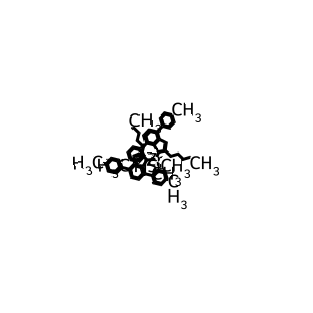 CCCCCC1=Cc2c(-c3ccc(C)cc3)ccc(-c3ccc(C)cc3)c2[CH]1[Zr]([CH]1C(CCCCC)=Cc2c(-c3ccc(C)cc3)ccc(-c3ccc(C)cc3)c21)[SiH](C)C